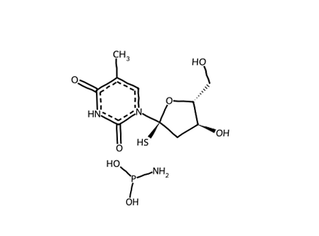 Cc1cn([C@@]2(S)C[C@H](O)[C@@H](CO)O2)c(=O)[nH]c1=O.NP(O)O